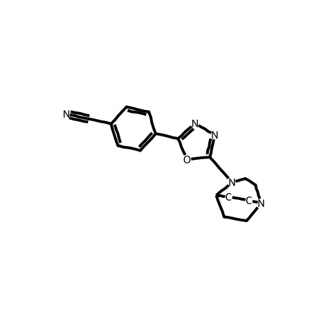 N#Cc1ccc(-c2nnc(N3CCN4CCC3CC4)o2)cc1